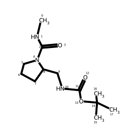 CNC(=O)N1CCCC1CNC(=O)OC(C)(C)C